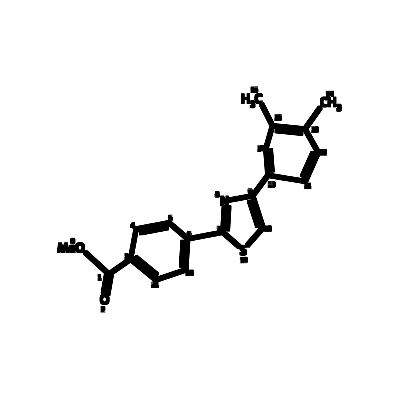 COC(=O)c1ccc(-c2nc(-c3ccc(C)c(C)c3)cs2)cc1